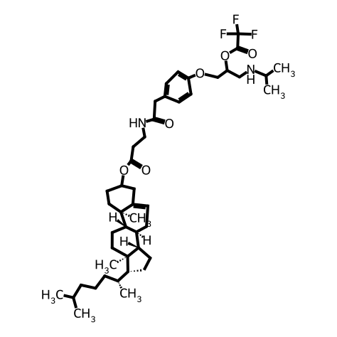 CC(C)CCC[C@@H](C)[C@H]1CC[C@H]2[C@@H]3CC=C4CC(OC(=O)CCNC(=O)Cc5ccc(OCC(CNC(C)C)OC(=O)C(F)(F)F)cc5)CC[C@]4(C)[C@H]3CC[C@]12C